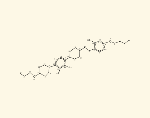 CCCCOc1ccc(CCC2CCC(c3ccc(C4CCC(OCCC)CC4)c(F)c3F)CC2)c(F)c1